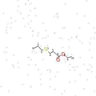 CCCSCCC(=O)OCC